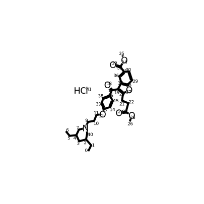 CCC1CC(CC)CN(CCCOc2ccc(C(=O)c3c(CCC(=O)OC)oc4ccc(C(=O)OC)cc34)cc2)C1.Cl